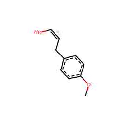 COc1ccc(C/C=C\O)cc1